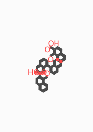 O=C(O)c1ccc2ccccc2c1COc1ccc2ccccc2c1-c1c(OCc2c(C(=O)O)ccc3ccccc23)ccc2ccccc12